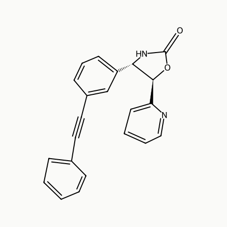 O=C1N[C@@H](c2cccc(C#Cc3ccccc3)c2)[C@H](c2ccccn2)O1